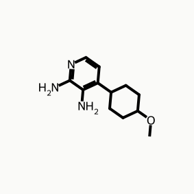 COC1CCC(c2ccnc(N)c2N)CC1